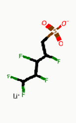 O=S(=O)([O-])CC(F)C(F)C(F)C(F)F.[Li+]